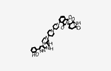 O=C1CCC(N2C(=O)c3cccc(N4CCC(N5CCC(N6CCN7c8cc(-c9ccccc9O)nnc8NC[C@H]7C6)CC5)CC4)c3C2=O)C(=O)N1